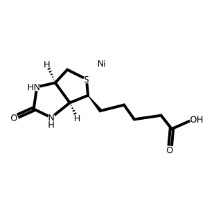 O=C(O)CCCC[C@@H]1SC[C@@H]2NC(=O)N[C@@H]21.[Ni]